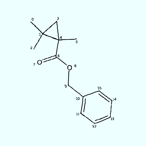 CC1(C)CC1(C)C(=O)OCc1ccccc1